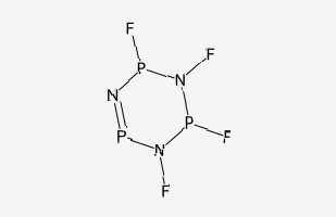 Fn1pnp(F)n(F)p1F